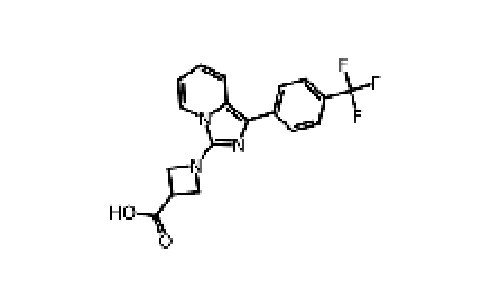 O=C(O)C1CN(c2nc(-c3ccc(C(F)(F)F)cc3)c3ccccn23)C1